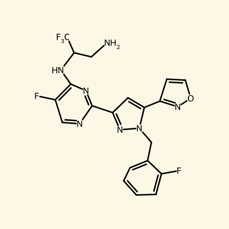 NCC(Nc1nc(-c2cc(-c3ccon3)n(Cc3ccccc3F)n2)ncc1F)C(F)(F)F